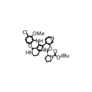 COc1c(Cl)cccc1Nc1c(-c2ccncc2OC[C@@H]2CCCN2C(=O)OC(C)(C)C)[nH]c2c1C(=O)NCC2